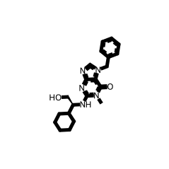 Cn1c(N[C@H](CO)C2CCCCC2)nc2ncn(Cc3ccccc3)c2c1=O